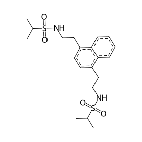 CC(C)S(=O)(=O)NCCc1ccc(CCNS(=O)(=O)C(C)C)c2ccccc12